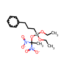 CCO[Si](CCCc1ccccc1)(OCC)OC(C)([N+](=O)[O-])[N+](=O)[O-]